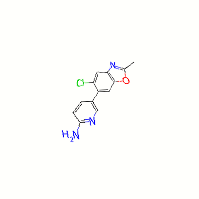 Cc1nc2cc(Cl)c(-c3ccc(N)nc3)cc2o1